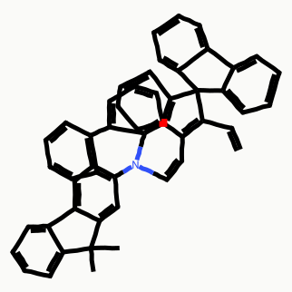 C=CC1=C(/C=C\N(c2ccc3c(c2)C(C)(C)c2ccccc2-3)c2ccccc2-c2ccccc2)C2=C(C=CCC2)C12c1ccccc1-c1ccccc12